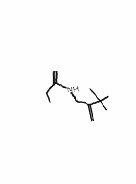 C=C(CC)NCC(=C)C(C)(C)C